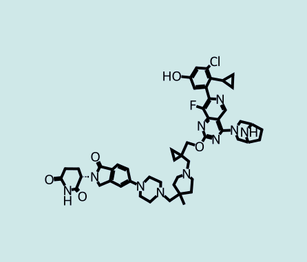 CC1(CN2CCN(c3ccc4c(c3)CN([C@H]3CCC(=O)NC3=O)C4=O)CC2)CCN(CC2(COc3nc(N4CC5CCC(C4)N5)c4cnc(-c5cc(O)cc(Cl)c5C5CC5)c(F)c4n3)CC2)CC1